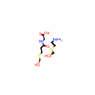 NCCSCO.O=C(O)CNC(=O)CCSCO